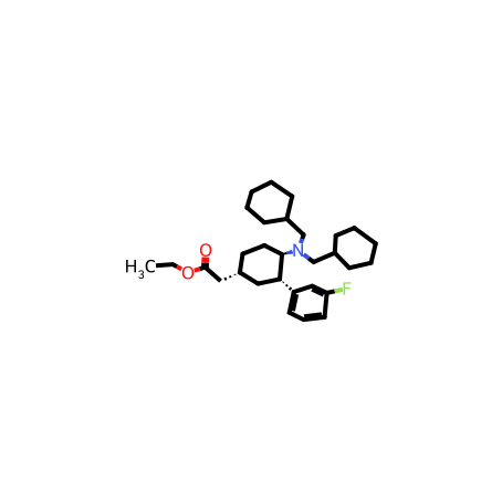 CCOC(=O)C[C@@H]1CC[C@@H](N(CC2CCCCC2)CC2CCCCC2)[C@H](c2cccc(F)c2)C1